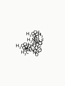 CC1CN(c2nc(=O)n3c4c(c(-c5ccc(F)c6sc(N(N)C(=O)OC(C)(C)C)nc56)c(C(F)(F)F)cc24)SCCC3)CC(C)N1C(=O)OC(C)(C)C